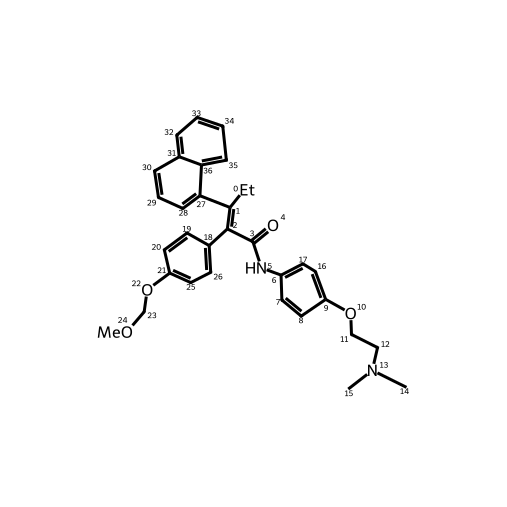 CCC(=C(C(=O)Nc1ccc(OCCN(C)C)cc1)c1ccc(OCOC)cc1)c1cccc2ccccc12